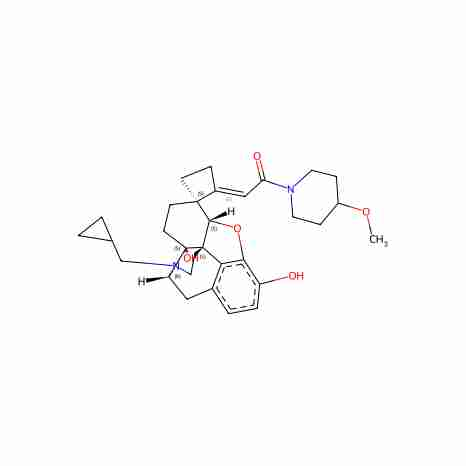 COC1CCN(C(=O)/C=C2\CC[C@]23CC[C@@]2(O)[C@H]4Cc5ccc(O)c6c5[C@@]2(CCN4CC2CC2)[C@H]3O6)CC1